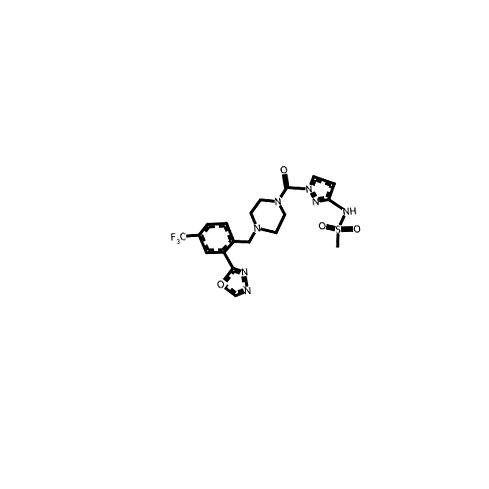 CS(=O)(=O)Nc1ccn(C(=O)N2CCN(Cc3ccc(C(F)(F)F)cc3-c3nnco3)CC2)n1